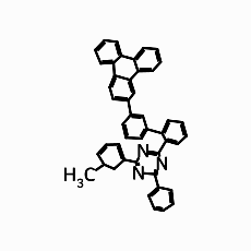 CC1C=CC=C(c2nc(-c3ccccc3)nc(-c3ccccc3-c3cccc(-c4ccc5c6ccccc6c6ccccc6c5c4)c3)n2)C1